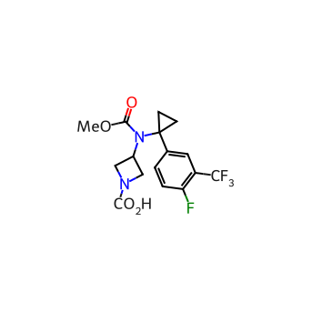 COC(=O)N(C1CN(C(=O)O)C1)C1(c2ccc(F)c(C(F)(F)F)c2)CC1